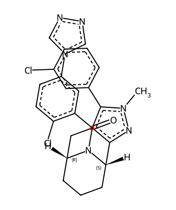 Cn1nc2c(c1-c1cccc(Cl)c1)C[C@H]1CCC[C@@H]2N1C(=O)c1cc(-n2cnnc2)ccc1Cl